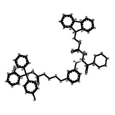 Cc1ccc(C(OC(=O)CCCCc2cccc(C[C@H](NC(=O)OCC3c4ccccc4-c4ccccc43)C(=O)N3CCCCC3)c2)(c2ccccc2)c2ccccc2Cl)cc1